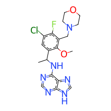 COc1c(C(C)Nc2ncnc3[nH]cnc23)cc(Cl)c(F)c1CN1CCOCC1